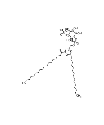 CCCCCCCCCCCCCCCC(=O)O[C@H](COC(=O)CCCCCCCCCCCCCCCCS)COP(=O)(O)OC1C(O)[C@@H](OP(=O)(O)O)C(O)[C@@H](O)[C@H]1O